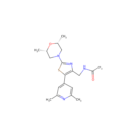 Cc1cc(-c2sc(N3C[C@@H](C)O[C@@H](C)C3)nc2CNC(=O)C(F)(F)F)cc(C)n1